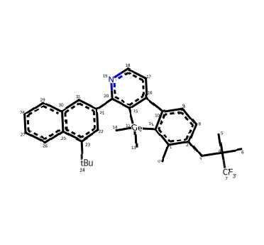 Cc1c(CC(C)(C)C(F)(F)F)ccc2[c]1[Ge]([CH3])([CH3])[c]1c-2ccnc1-c1cc(C(C)(C)C)c2ccccc2c1